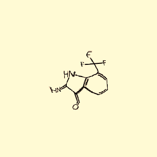 N=C1Nc2c(cccc2C(F)(F)F)C1=O